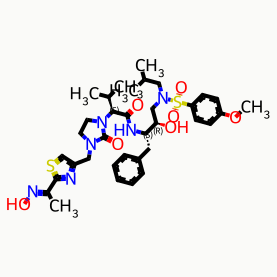 COc1ccc(S(=O)(=O)N(CC(C)C)C[C@@H](O)[C@H](Cc2ccccc2)NC(=O)[C@H](C(C)C)N2CCN(Cc3csc(C(C)=NO)n3)C2=O)cc1